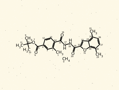 C.Cc1cc(C(=O)OC(C)(C)C)ccc1C(=O)NNC(=O)c1cc2c(C)ccc(C)c2o1